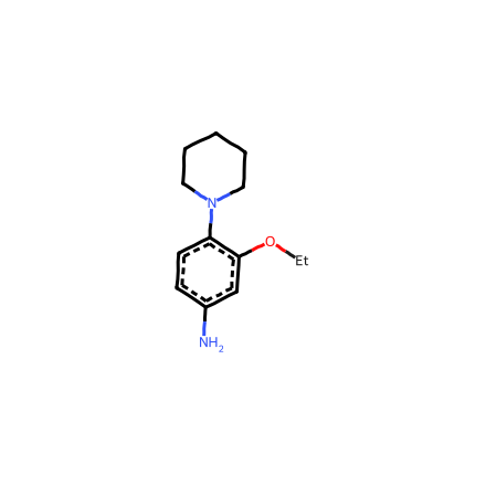 CCOc1cc(N)ccc1N1CCCCC1